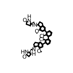 COc1cc(-c2cccc(-c3cccc(-c4cc5c(c(OC)c4)[C@H](NC[C@H]4CCC(=O)N4)CC5)c3Cl)c2Cl)cc2c1[C@@H](NC[C@H]1CCC(=O)N1)CC2